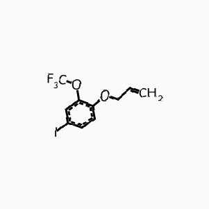 C=CCOc1ccc(I)cc1OC(F)(F)F